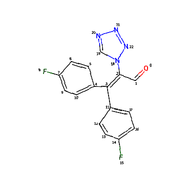 O=CC(=C(c1ccc(F)cc1)c1ccc(F)cc1)n1cnnn1